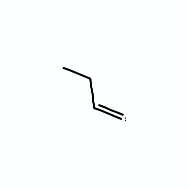 [C]=CCC